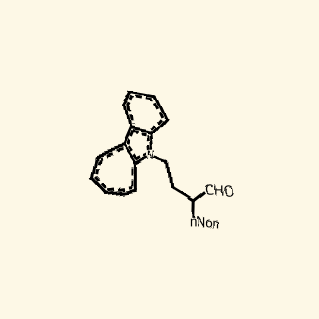 CCCCCCCCCC(C=O)CCn1c2ccccc2c2ccccc21